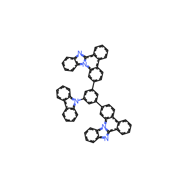 c1ccc2c(c1)nc1c3ccccc3c3ccc(-c4cc(-c5ccc6c7ccccc7c7nc8ccccc8n7c6c5)cc(-n5c6ccccc6c6ccccc65)c4)cc3n21